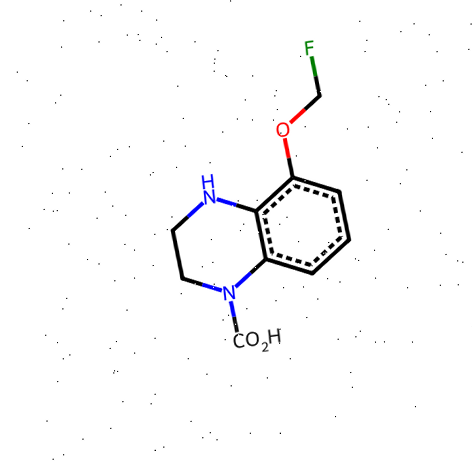 O=C(O)N1CCNc2c(OCF)cccc21